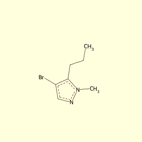 CCCc1c(Br)cnn1C